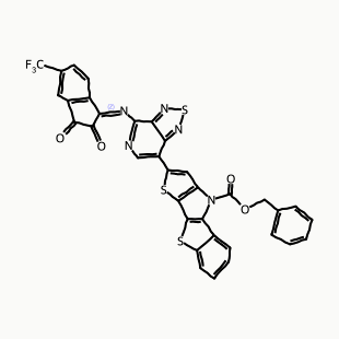 O=C(OCc1ccccc1)n1c2cc(-c3cnc(/N=c4\c(=O)c(=O)c5cc(C(F)(F)F)ccc45)c4nsnc34)sc2c2sc3ccccc3c21